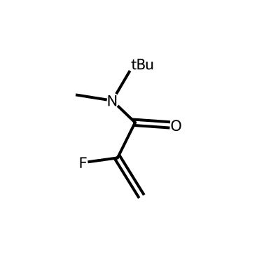 C=C(F)C(=O)N(C)C(C)(C)C